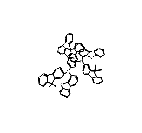 CC1(C)c2ccccc2-c2ccc(N(c3cc(-c4cccc5c4C4(c6ccccc6-c6ccccc64)c4ccccc4-5)cc(N(c4ccc5c(c4)C(C)(C)c4ccccc4-5)c4cccc5c4oc4ccccc45)c3)c3cccc4c3oc3ccccc34)cc21